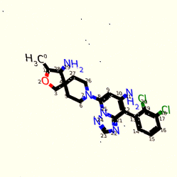 CC1OCC2(CCN(c3cc(N)c(-c4cccc(Cl)c4Cl)c4ncnn34)CC2)C1N